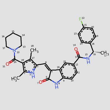 Cc1[nH]c(C=C2C(=O)Nc3ccc(C(=O)N[C@@H](C)c4ccc(F)cc4)cc32)c(C)c1C(=O)N1CCCCC1